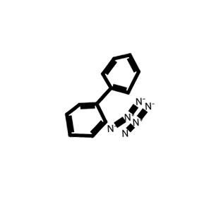 [N-]=[N+]=[N-].[N-]=[N+]=[N-].c1ccc(-c2ccccc2)cc1